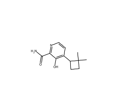 CC1(C)CCC1c1ccnc(C(N)=O)c1O